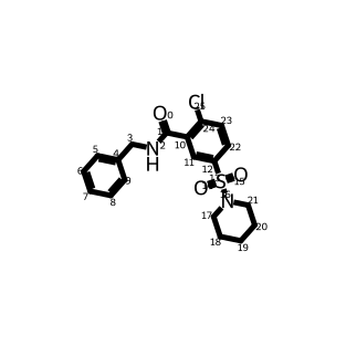 O=C(NCc1ccccc1)c1cc(S(=O)(=O)N2CCCCC2)ccc1Cl